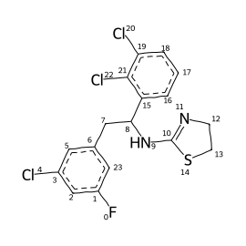 Fc1cc(Cl)cc(CC(NC2=NCCS2)c2cccc(Cl)c2Cl)c1